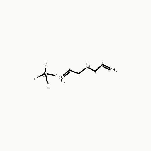 C=CC[NH2+]CC=C.F[B-](F)(F)F